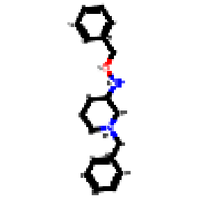 c1ccc(CONC2CCCN(Cc3ccccc3)C2)cc1